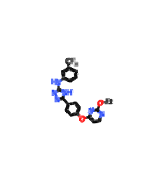 CCOc1nccc(Oc2ccc(-c3nnc(Nc4cccc(C(F)(F)F)c4)[nH]3)cc2)n1